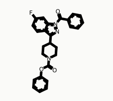 O=C(Oc1ccccc1)N1CCC(c2nn(C(=O)c3ccccc3)c3cc(F)ccc23)CC1